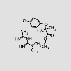 CCOC(=O)C(C)(C)Oc1ccc(Cl)cc1.CN(C)C(=N)NC(=N)N